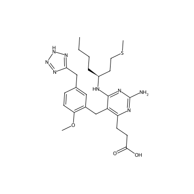 CCCC[C@@H](CCSC)Nc1nc(N)nc(CCC(=O)O)c1Cc1cc(Cc2nn[nH]n2)ccc1OC